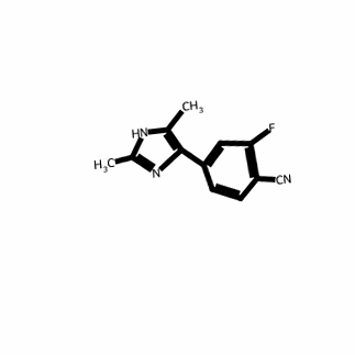 Cc1nc(-c2ccc(C#N)c(F)c2)c(C)[nH]1